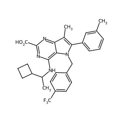 Cc1cccc(-c2c(C)c3nc(C(=O)O)nc(NC(C)C4CCC4)c3n2Cc2ccc(C(F)(F)F)cc2)c1